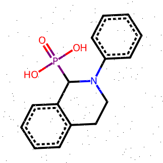 O=P(O)(O)C1c2ccccc2CCN1c1ccccc1